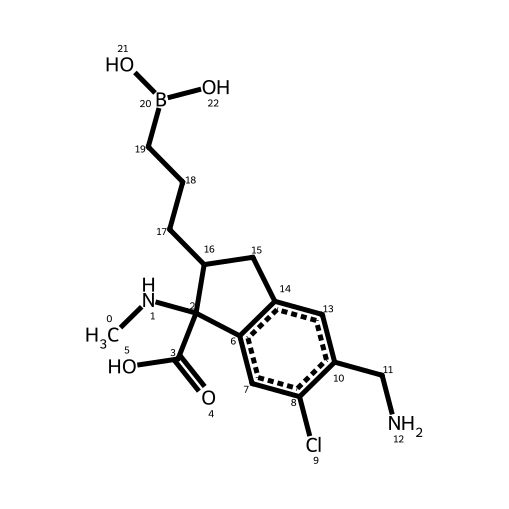 CNC1(C(=O)O)c2cc(Cl)c(CN)cc2CC1CCCB(O)O